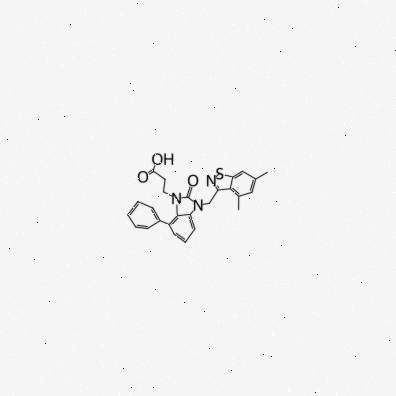 Cc1cc(C)c2c(Cn3c(=O)n(CCC(=O)O)c4c(-c5ccccc5)cccc43)nsc2c1